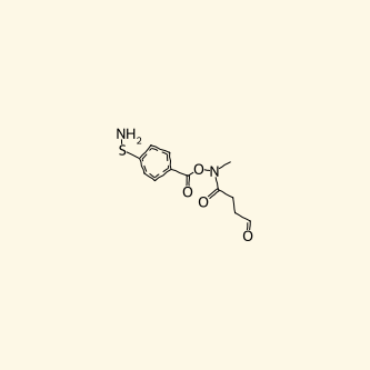 CN(OC(=O)c1ccc(SN)cc1)C(=O)CCC=O